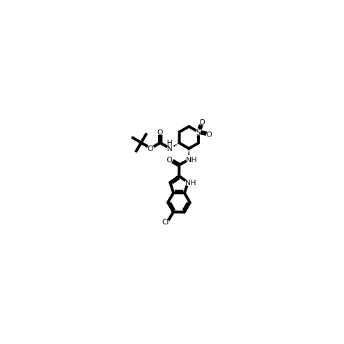 CC(C)(C)OC(=O)N[C@@H]1CCS(=O)(=O)C[C@@H]1NC(=O)c1cc2cc(Cl)ccc2[nH]1